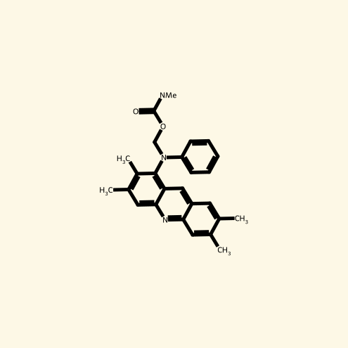 CNC(=O)OCN(c1ccccc1)c1c(C)c(C)cc2nc3cc(C)c(C)cc3cc12